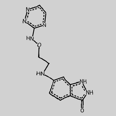 O=c1[nH][nH]c2cc(NCCONc3nccnn3)ccc12